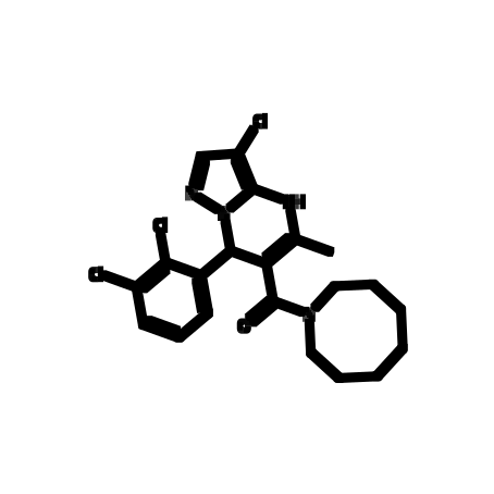 CC1=C(C(=O)N2CCCCCCC2)C(c2cccc(Cl)c2Cl)n2ncc(Cl)c2N1